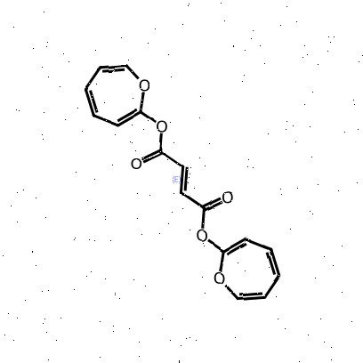 O=C(/C=C/C(=O)OC1=CC=CC=CO1)OC1=CC=CC=CO1